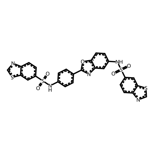 O=S(=O)(Nc1ccc(-c2nc3cc(NS(=O)(=O)c4ccc5ncsc5c4)ccc3o2)cc1)c1ccc2ncsc2c1